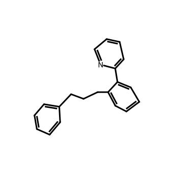 c1ccc(CCCc2ccccc2-c2ccccn2)cc1